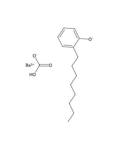 CCCCCCCCc1ccccc1[O-].O=C([O-])O.[Ba+2]